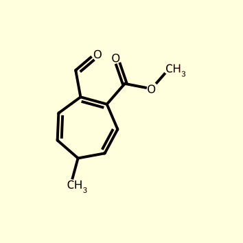 COC(=O)C1=C(C=O)C=CC(C)C=C1